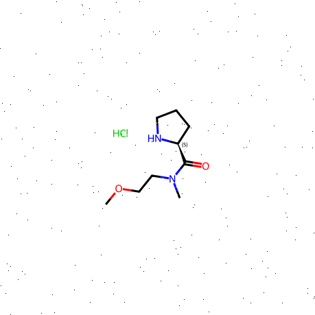 COCCN(C)C(=O)[C@@H]1CCCN1.Cl